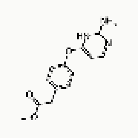 COC(=O)Cc1ccc(OC2=CC=NC(N)N2)cc1